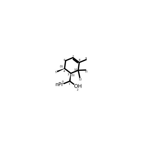 CCCC(O)[C@H]1[C@@H](C)CC=C(C)C1(C)C